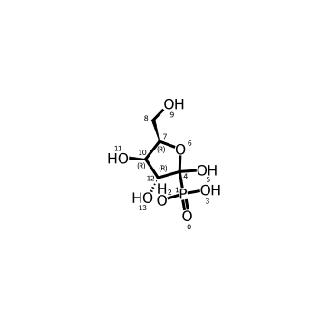 O=P(O)(O)C1(O)O[C@H](CO)[C@H](O)[C@H]1O